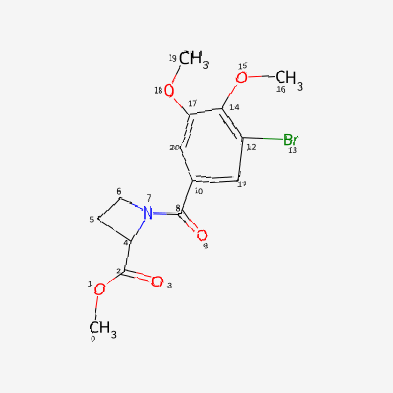 COC(=O)C1CCN1C(=O)c1cc(Br)c(OC)c(OC)c1